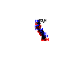 O=C(O)NC1CN(C(=O)NS(=O)(=O)NNC(=O)N2CCN(NC(=O)c3cc(=O)c(O)c[nH]3)C2=O)C1=O